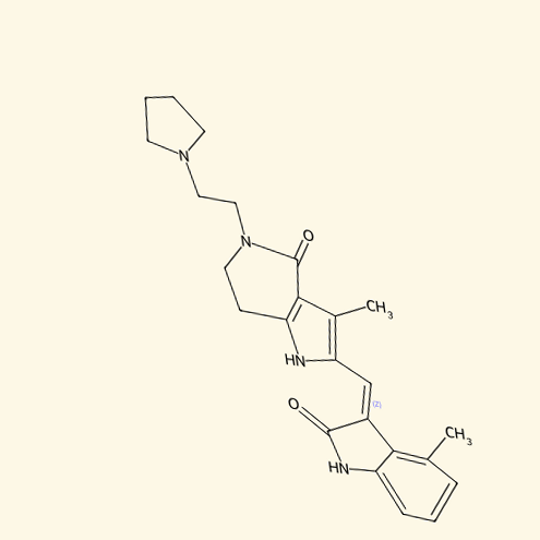 Cc1cccc2c1/C(=C/c1[nH]c3c(c1C)C(=O)N(CCN1CCCC1)CC3)C(=O)N2